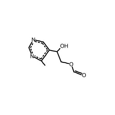 Cc1ncncc1C(O)COC=O